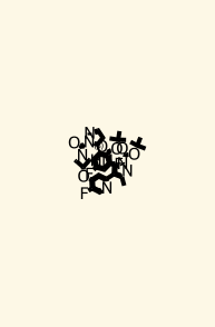 Cc1nn(C(=O)OC(C)(C)C)c(NC(=O)OC(C)(C)C)c1-c1cc(OC2CN(C(=O)N3N=CC[C@H]3c3cc(F)cc(F)c3)C2)c(F)cn1